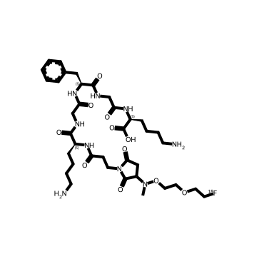 CN(OCCOCC[18F])C1CC(=O)N(CCC(=O)N[C@@H](CCCCN)C(=O)NCC(=O)N[C@@H](Cc2ccccc2)C(=O)NCC(=O)N[C@@H](CCCCN)C(=O)O)C1=O